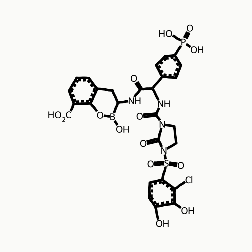 O=C(O)c1cccc2c1OB(O)C(NC(=O)C(NC(=O)N1CCN(S(=O)(=O)c3ccc(O)c(O)c3Cl)C1=O)c1ccc(P(=O)(O)O)cc1)C2